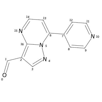 O=Cc1cnn2c(-c3ccncc3)ccnc12